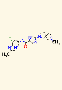 Cc1cn2cc(NC(=O)c3cnc(N4CCC5(CCN(C)C5)C4)cn3)cc(F)c2n1